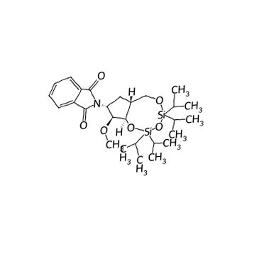 CO[C@@H]1[C@@H]2O[Si](C(C)C)(C(C)C)O[Si](C(C)C)(C(C)C)OC[C@H]2C[C@H]1N1C(=O)c2ccccc2C1=O